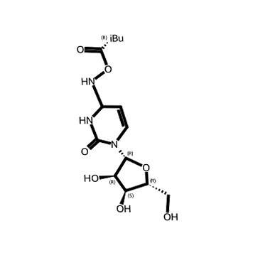 CC[C@@H](C)C(=O)ONC1C=CN([C@@H]2O[C@H](CO)[C@@H](O)[C@H]2O)C(=O)N1